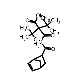 CC(C)(C)C(C(=O)O)(C(=O)OC(=O)C1CC2C=CC1C2)C(C)(C)C